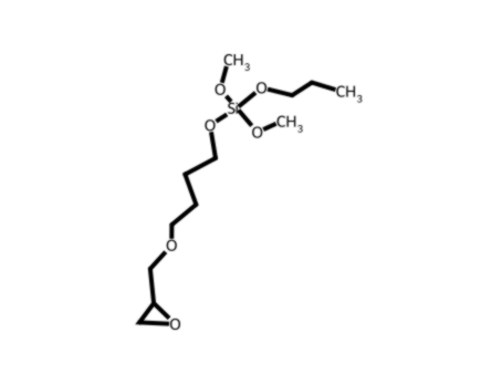 CCCO[Si](OC)(OC)OCCCCOCC1CO1